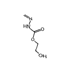 C=NNC(=O)OCCO